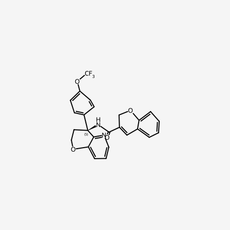 O=C(N[C@]1(c2ccc(OC(F)(F)F)cc2)CCOc2cccnc21)C1=Cc2ccccc2OC1